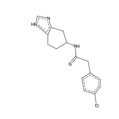 O=C(Cc1ccc(Cl)cc1)NC1CCc2[nH]cnc2C1